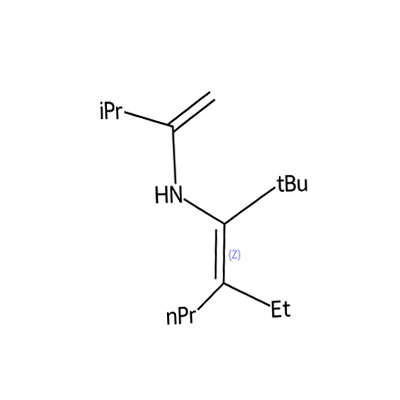 C=C(N/C(=C(/CC)CCC)C(C)(C)C)C(C)C